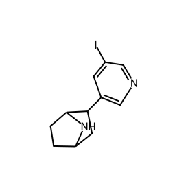 Ic1cncc(C2CC3CCC2N3)c1